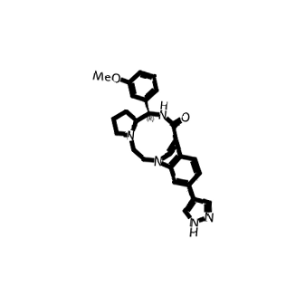 COc1cccc([C@H]2NC(=O)c3cn(c4cc(-c5cn[nH]c5)ccc34)CCN3CCCC23)c1